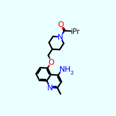 Cc1cc(N)c2c(OCC3CCN(C(=O)C(C)C)CC3)cccc2n1